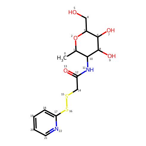 CC1OC(CO)C(O)C(O)C1NC(=O)CSSc1ccccn1